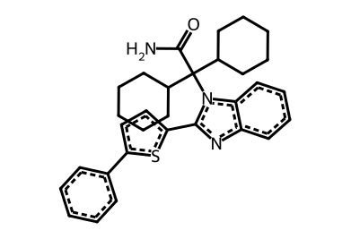 NC(=O)C(C1CCCCC1)(C1CCCCC1)n1c(-c2ccc(-c3ccccc3)s2)nc2ccccc21